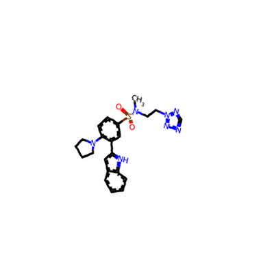 CN(CCn1ncnn1)S(=O)(=O)c1ccc(N2CCCC2)c(-c2cc3ccccc3[nH]2)c1